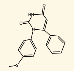 CSc1ccc(-n2c(-c3ccccc3)cc(=O)[nH]c2=O)cc1